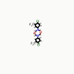 FC(F)(F)c1cc(N2COCN(c3ccc(Cl)c(C(F)(F)F)c3)COC2)ccc1Cl